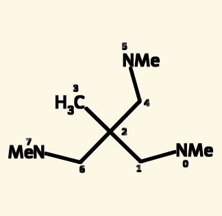 CNCC(C)(CNC)CNC